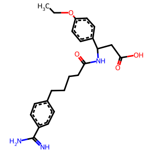 CCOc1ccc(C(CC(=O)O)NC(=O)CCCCc2ccc(C(=N)N)cc2)cc1